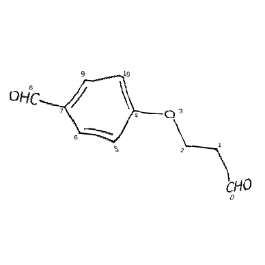 O=CCCOc1ccc(C=O)cc1